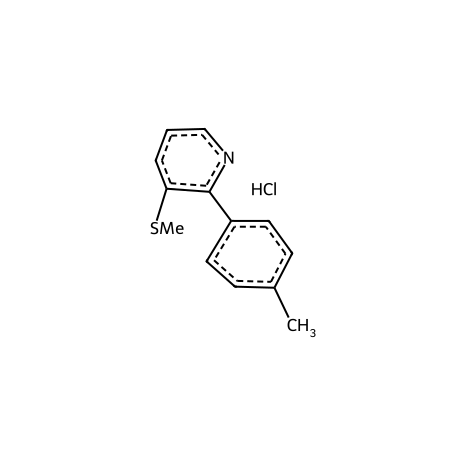 CSc1cccnc1-c1ccc(C)cc1.Cl